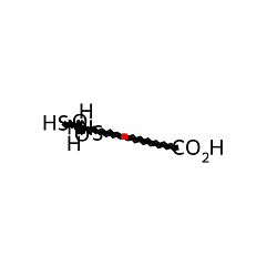 O=C(O)CCCCCCCCCCCCCCCCCCCCSCCNC(=O)C(=O)NCCS